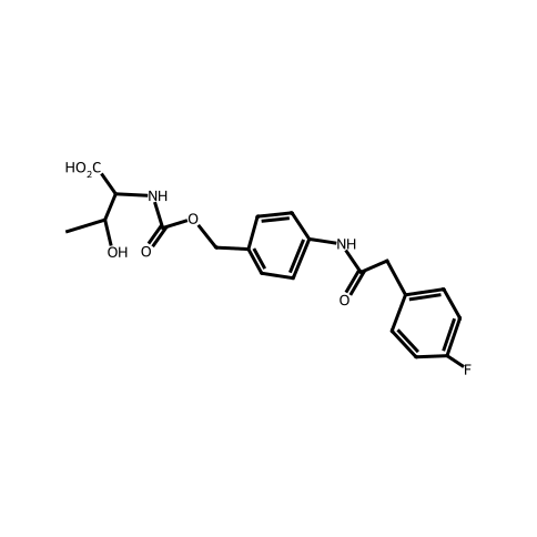 CC(O)C(NC(=O)OCc1ccc(NC(=O)Cc2ccc(F)cc2)cc1)C(=O)O